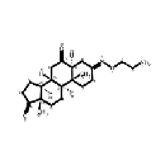 C[C@]12CCC(=NOCCN)C[C@@H]1C(=O)C[C@@H]1[C@@H]2CC[C@]2(C)C(=O)CC[C@@H]12